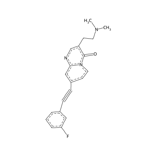 CN(C)CCc1cnc2cc(C#Cc3cccc(F)c3)ccn2c1=O